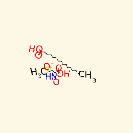 CCCCCCCCCCCCCCCC(=O)O.C[S+]([O-])CCC(NC=O)C(=O)O